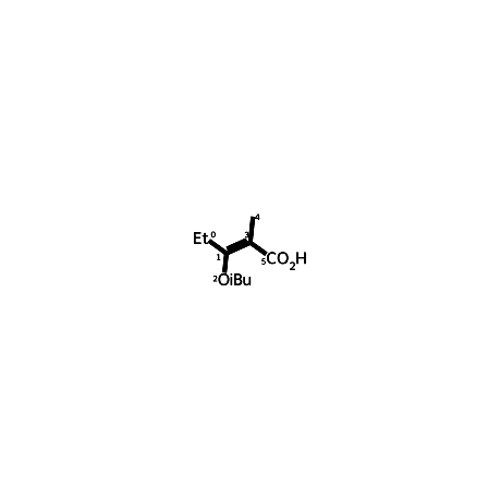 CCC(OCC(C)C)=C(C)C(=O)O